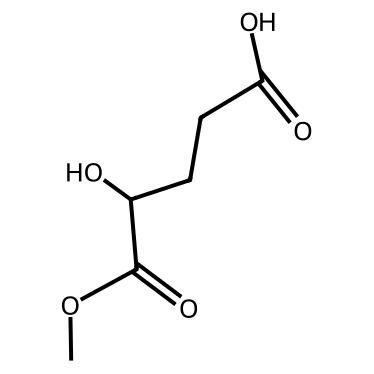 COC(=O)C(O)CCC(=O)O